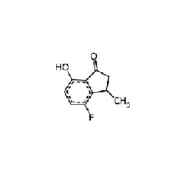 CC1CC(=O)c2c(O)ccc(F)c21